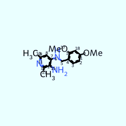 COc1ccc(CNc2cc(C)nc(C)c2N)c(OC)c1